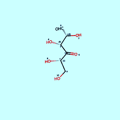 O=C[C@H](O)[C@@H](O)C(=O)[C@@H](O)CO